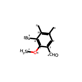 Cc1cc(C=O)c(O[SiH3])c(C(C)(C)C)c1C